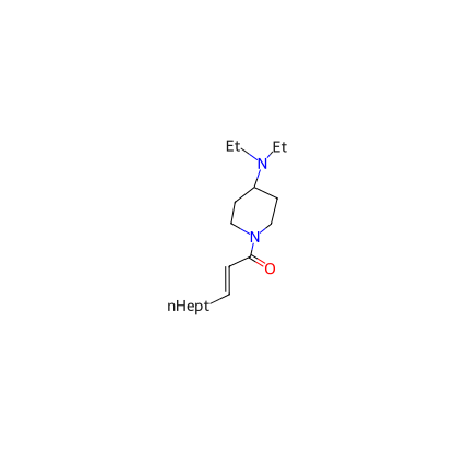 CCCCCCCC=CC(=O)N1CCC(N(CC)CC)CC1